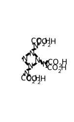 CN1CCN(CCN(CC(=O)O)CC(=O)O)CCN(CCN(CC(=O)O)CC(=O)O)CCN(CCN(CC(=O)O)CC(=O)O)CC1